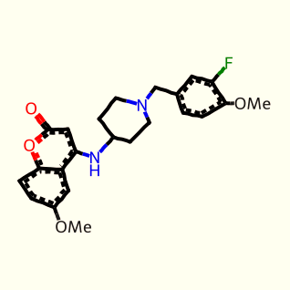 COc1ccc2oc(=O)cc(NC3CCN(Cc4ccc(OC)c(F)c4)CC3)c2c1